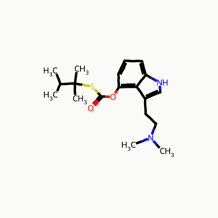 CC(C)C(C)(C)SC(=O)Oc1cccc2[nH]cc(CCN(C)C)c12